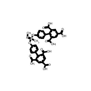 CN=P(C)(Oc1ccc(-c2c(C(=O)O)cc(C(=O)O)cc2C(=O)O)cc1)Oc1ccc(-c2c(C(=O)O)cc(C(=O)O)cc2C(=O)O)cc1